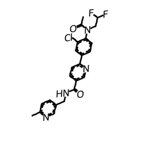 CC(=O)N(CC(F)F)c1ccc(-c2ccc(C(=O)NCc3ccc(C)nc3)cn2)cc1Cl